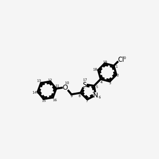 Clc1ccc(-c2ncc(COc3cc[c]cc3)s2)cc1